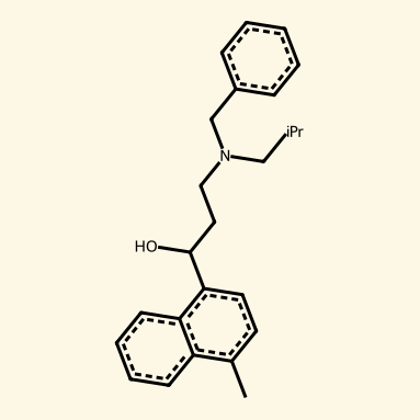 Cc1ccc(C(O)CCN(Cc2ccccc2)CC(C)C)c2ccccc12